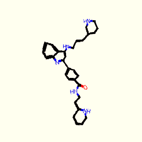 O=C(NCCC1CCCCN1)c1ccc(-c2cc(NCCCC3CCCNC3)c3ccccc3n2)cc1